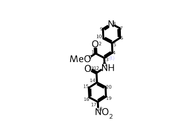 COC(=O)/C(=C\c1ccncc1)NC(=O)c1ccc([N+](=O)[O-])cc1